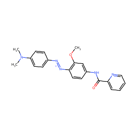 COc1cc(NC(=O)c2ccccn2)ccc1/N=N/c1ccc(N(C)C)cc1